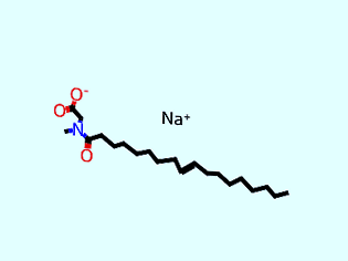 CCCCCCCCC=CCCCCCCCC(=O)N(C)CC(=O)[O-].[Na+]